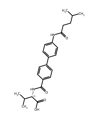 CC(C)CCC(=O)Nc1ccc(-c2ccc(C(=O)N[C@H](C(=O)O)C(C)C)cc2)cc1